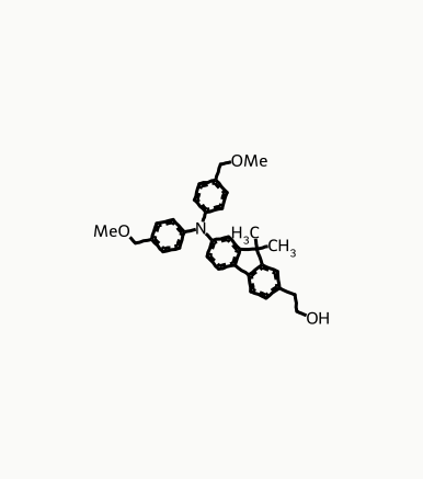 COCc1ccc(N(c2ccc(COC)cc2)c2ccc3c(c2)C(C)(C)c2cc(CCO)ccc2-3)cc1